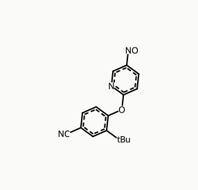 CC(C)(C)c1cc(C#N)ccc1Oc1ccc(N=O)cn1